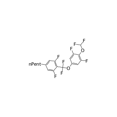 CCCCCc1cc(F)c(C(F)(F)Oc2cc(F)c(OC(F)F)c(F)c2)c(F)c1